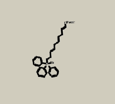 CCCCCC=CCC=CCC=CCCP(Br)(c1ccccc1)(c1ccccc1)c1ccccc1